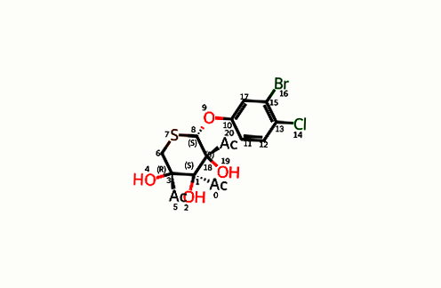 CC(=O)[C@]1(O)[C@@](O)(C(C)=O)CS[C@H](Oc2ccc(Cl)c(Br)c2)[C@@]1(O)C(C)=O